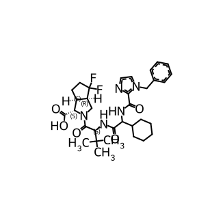 CC(C)(C)[C@H](NC(=O)C(NC(=O)c1nccn1Cc1ccccc1)C1CCCCC1)C(=O)N1C[C@H]2[C@H](CCC2(F)F)[C@H]1C(=O)O